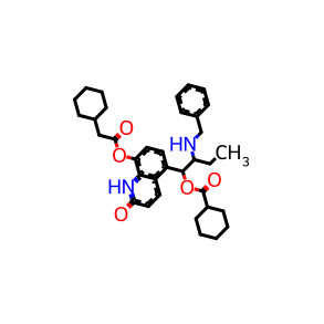 CCC(NCc1ccccc1)C(OC(=O)C1CCCCC1)c1ccc(OC(=O)CC2CCCCC2)c2[nH]c(=O)ccc12